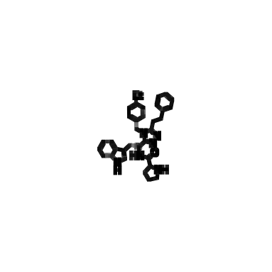 CCc1ccc(Cn2c(CCc3ccccc3)nnc2[C@@H](Cc2c[nH]c3ccccc23)NC(=O)C2CCCN2)cc1